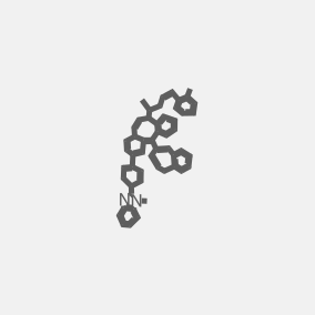 Cc1ccccc1/C=C\CC(C)C1/C=C\C2C=CC(C3=CCC(c4nc5ccccc5n4C)C=C3)=C/C2=C(\C2=Cc3ccccc3CC=C2)c2ccccc21